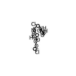 Cc1c(Cl)cccc1OCCOC(=O)N1C[C@@H]2C[C@@H]2c2c(-c3cnn(Cc4cc(NC(=O)NOS(C)(=O)=O)ccc4Cl)c3)cccc21